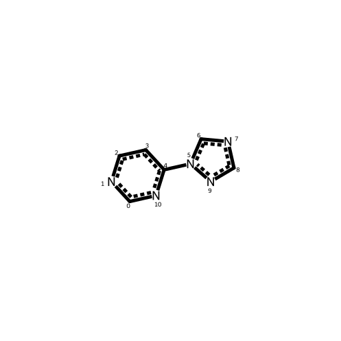 [c]1nccc(-n2cncn2)n1